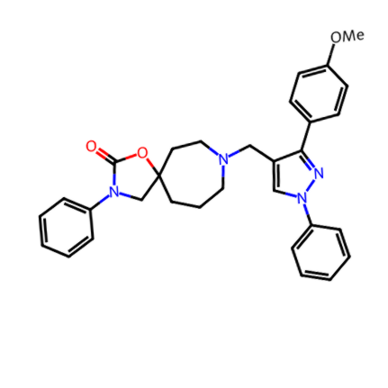 COc1ccc(-c2nn(-c3ccccc3)cc2CN2CCCC3(CC2)CN(c2ccccc2)C(=O)O3)cc1